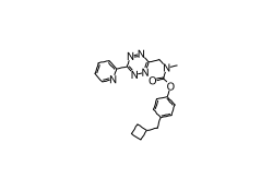 CN(Cc1nnc(-c2ccccn2)nn1)C(=O)Oc1ccc(CC2CCC2)cc1